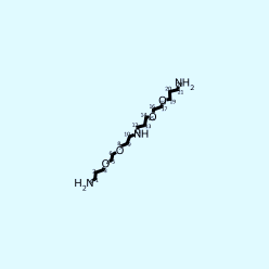 NCCCOCCOCCCNCCCOCCOCCCN